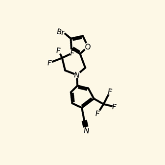 N#Cc1ccc(N(Cc2cc(Br)co2)CC(F)(F)F)cc1C(F)(F)F